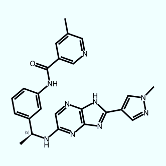 Cc1cncc(C(=O)Nc2cccc([C@H](C)Nc3cnc4[nH]c(-c5cnn(C)c5)nc4n3)c2)c1